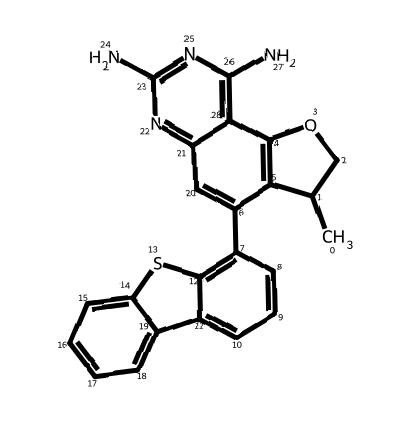 CC1COc2c1c(-c1cccc3c1sc1ccccc13)cc1nc(N)nc(N)c21